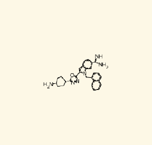 N=C(N)c1ccc2cc(-c3nnc([C@H]4CC[C@H](N)CC4)o3)n(Cc3cccc4ccccc34)c2c1